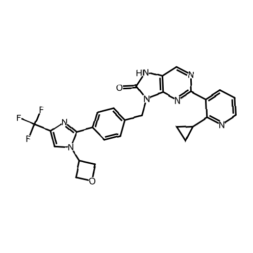 O=c1[nH]c2cnc(-c3cccnc3C3CC3)nc2n1Cc1ccc(-c2nc(C(F)(F)F)cn2C2COC2)cc1